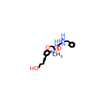 CN1C(=O)[C@H](NC(=O)c2n[nH]c(Cc3ccccc3)n2)COc2ccc(C#CCCCO)cc21